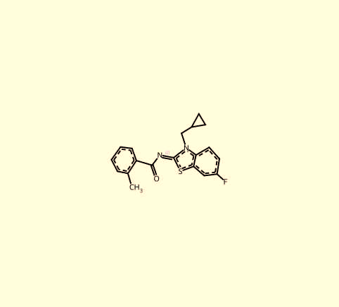 Cc1ccccc1C(=O)/N=c1\sc2cc(F)ccc2n1CC1CC1